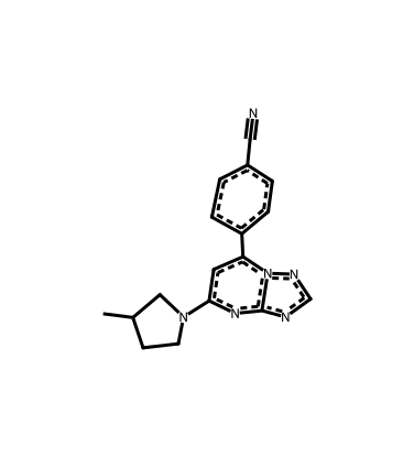 CC1CCN(c2cc(-c3ccc(C#N)cc3)n3ncnc3n2)C1